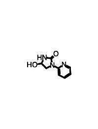 O=C1NC(O)CN1c1ccccn1